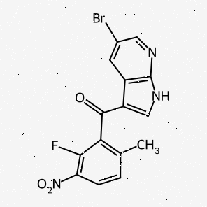 Cc1ccc([N+](=O)[O-])c(F)c1C(=O)c1c[nH]c2ncc(Br)cc12